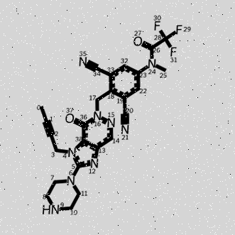 CC#CCn1c(N2CCNCC2)nc2cnn(Cc3c(C#N)cc(N(C)C(=O)C(F)(F)F)cc3C#N)c(=O)c21